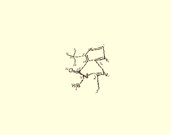 Bn1c(C)nc2cccc(C(C)(C)C)c2c1=O